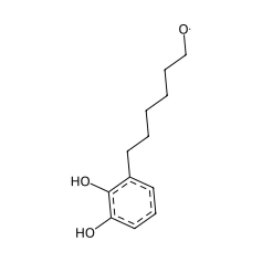 [O]CCCCCCc1cccc(O)c1O